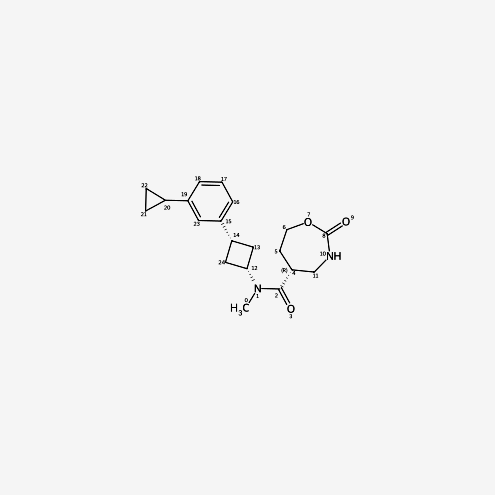 CN(C(=O)[C@@H]1CCOC(=O)NC1)[C@H]1C[C@@H](c2cccc(C3CC3)c2)C1